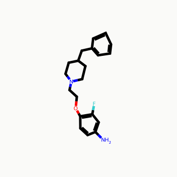 Nc1ccc(OCCN2CCC(Cc3ccccc3)CC2)c(F)c1